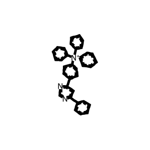 c1ccc(-c2cc(-c3ccc([N+](c4ccccc4)(c4ccccc4)c4ccccc4)cc3)ncn2)cc1